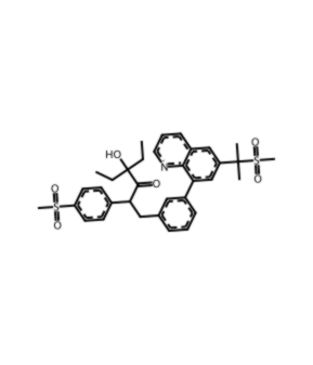 CCC(O)(CC)C(=O)C(Cc1cccc(-c2cc(C(C)(C)S(C)(=O)=O)cc3cccnc23)c1)c1ccc(S(C)(=O)=O)cc1